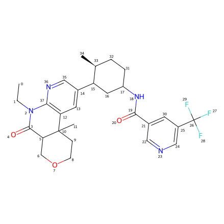 CCN1C(=O)C2COCCC2(C)c2cc(C3CC(NC(=O)c4cncc(C(F)(F)F)c4)CC[C@@H]3C)cnc21